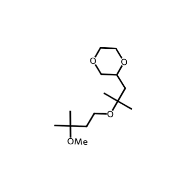 COC(C)(C)CCOC(C)(C)CC1COCCO1